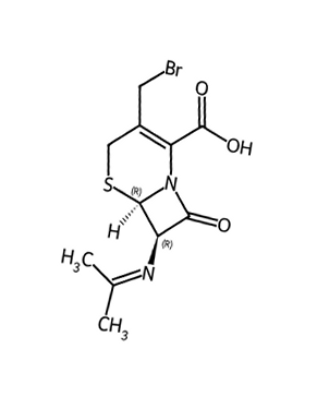 CC(C)=N[C@@H]1C(=O)N2C(C(=O)O)=C(CBr)CS[C@H]12